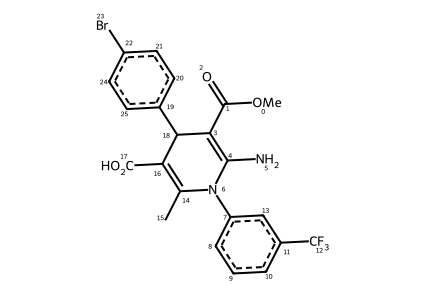 COC(=O)C1=C(N)N(c2cccc(C(F)(F)F)c2)C(C)=C(C(=O)O)C1c1ccc(Br)cc1